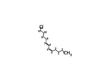 CCCC/C=C\C=C\CCCCCl